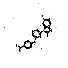 Cc1nc2cc(F)c(F)cc2n1-c1cncc(Nc2ccc(C(F)F)cc2)n1